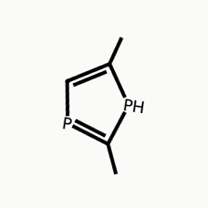 Cc1cpc(C)[pH]1